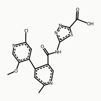 COc1cnc(Cl)cc1-c1cc(C)ncc1C(=O)Nc1nnc(C(=O)O)s1